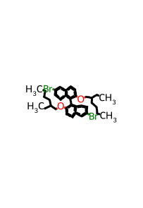 CCCCC(CC)COc1ccc2cc(Br)ccc2c1-c1c(OCC(CC)CCCC)ccc2cc(Br)ccc12